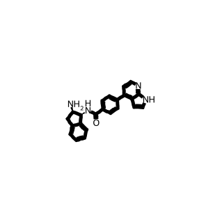 N[C@@H]1Cc2ccccc2[C@H]1NC(=O)c1ccc(-c2ccnc3[nH]ccc23)cc1